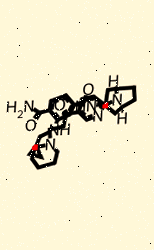 NC(=O)c1ccc(C(=O)N[C@H]2C[C@H]3CC[C@@H](C2)N3c2ccc(C(=O)CCN3CCCCC3)cn2)cc1NCC1CC1